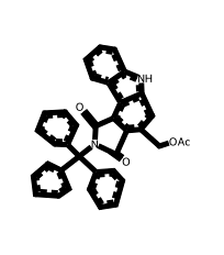 CC(=O)OCc1cc2[nH]c3ccccc3c2c2c1C(=O)N(C(c1ccccc1)(c1ccccc1)c1ccccc1)C2=O